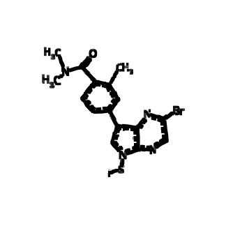 Cc1cc(-c2cn(SI)c3ncc(Br)nc23)ccc1C(=O)N(C)C